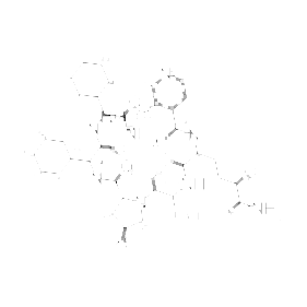 CC(C)(C)C(NC(=O)C(CCC(=O)C(N)=O)NC(=O)c1ccncc1C(=O)O)C(=O)N1CC(=O)C[C@H]1C(=O)NC(C(=O)NC(C(N)=O)C1CCCCC1)C1CCCCC1